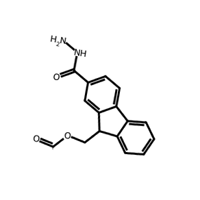 NNC(=O)c1ccc2c(c1)C(CO[C]=O)c1ccccc1-2